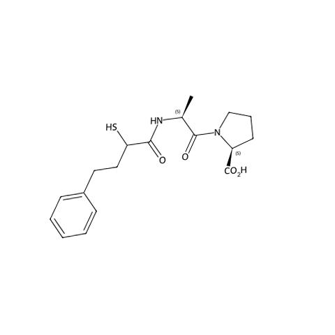 C[C@H](NC(=O)C(S)CCc1ccccc1)C(=O)N1CCC[C@H]1C(=O)O